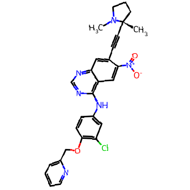 CN1CCC[C@]1(C)C#Cc1cc2ncnc(Nc3ccc(OCc4ccccn4)c(Cl)c3)c2cc1[N+](=O)[O-]